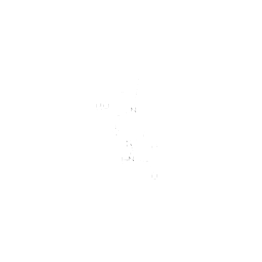 C[C@H](c1n[nH]c(=O)o1)N(C(=O)O)C(C)(C)C